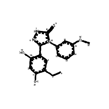 CCc1cc(-c2n[nH]c(=S)n2-c2cccc(OC)c2)c(O)cc1O